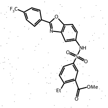 CCc1ccc(S(=O)(=O)Nc2ccc3oc(-c4ccc(C(F)(F)F)cc4)nc3c2)cc1C(=O)OC